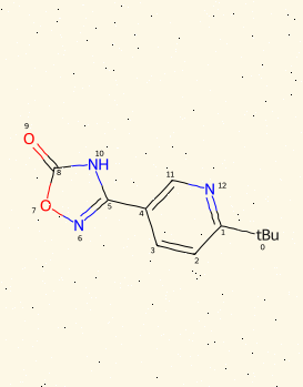 CC(C)(C)c1ccc(-c2noc(=O)[nH]2)cn1